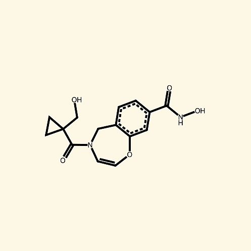 O=C(NO)c1ccc2c(c1)OC=CN(C(=O)C1(CO)CC1)C2